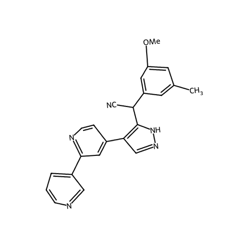 COc1cc(C)cc(C(C#N)c2[nH]ncc2-c2ccnc(-c3cccnc3)c2)c1